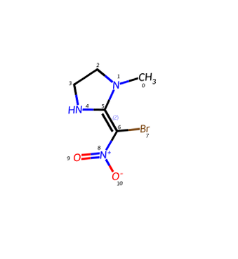 CN1CCN/C1=C(/Br)[N+](=O)[O-]